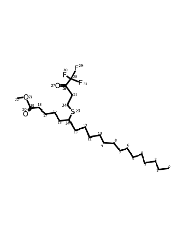 CCCCCCCCCCCCCCC(CCCCC(=O)OC)SCCC(=O)C(F)(F)F